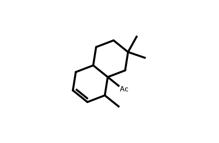 CC(=O)C12CC(C)(C)CCC1CC=CC2C